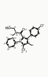 Cc1c(-c2ccc(Cl)cc2)c(C(=O)N(C)CC(C)(C)C)n(-c2cnccn2)c1C(F)(F)F